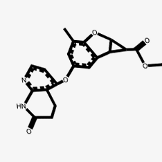 CCOC(=O)C1C2Oc3c(C)cc(Oc4ccnc5c4CCC(=O)N5)cc3C21